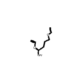 C=COCCCC(CCC)OC=C